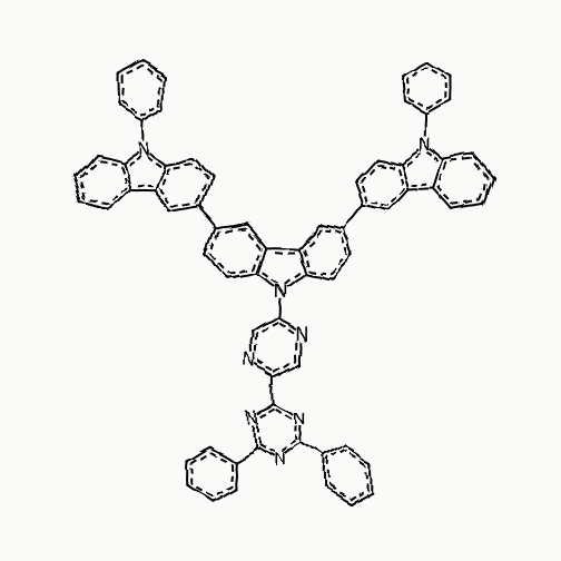 c1ccc(-c2nc(-c3ccccc3)nc(-c3cnc(-n4c5ccc(-c6ccc7c(c6)c6ccccc6n7-c6ccccc6)cc5c5cc(-c6ccc7c(c6)c6ccccc6n7-c6ccccc6)ccc54)cn3)n2)cc1